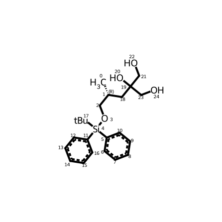 C[C@@H](CO[Si](c1ccccc1)(c1ccccc1)C(C)(C)C)CC(O)(CO)CO